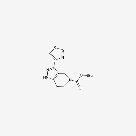 CC(C)(C)OC(=O)N1CCc2[nH]nc(-c3cscn3)c2C1